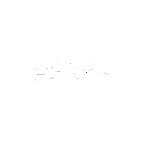 Cc1c([C@@H]2CN3CCN(C(=O)OC(C)(C)C)CC3CO2)ccc2c1COC2=O